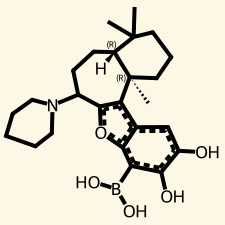 CC1(C)CCC[C@@]2(C)c3c(oc4c(B(O)O)c(O)c(O)cc34)C(N3CCCCC3)CC[C@H]12